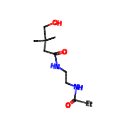 CCC(=O)NCCNC(=O)CC(C)(C)CO